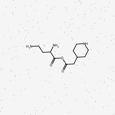 NCCC(N)C(=O)OC(=O)CC1CCNCC1